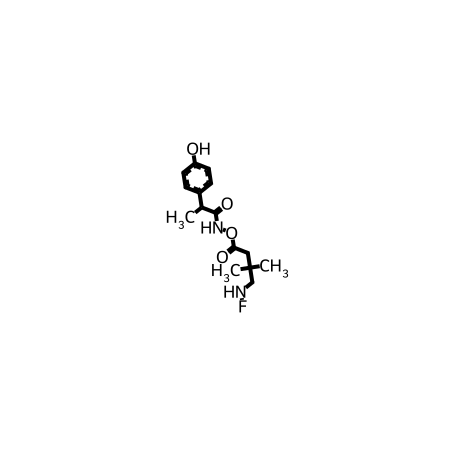 CC(C(=O)NOC(=O)CC(C)(C)CNF)c1ccc(O)cc1